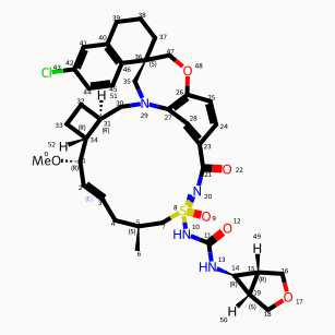 CO[C@H]1/C=C/C[C@H](C)CS(=O)(NC(=O)N[C@H]2[C@@H]3COC[C@@H]32)=NC(=O)c2ccc3c(c2)N(C[C@@H]2CC[C@H]21)C[C@@]1(CCCc2cc(Cl)ccc21)CO3